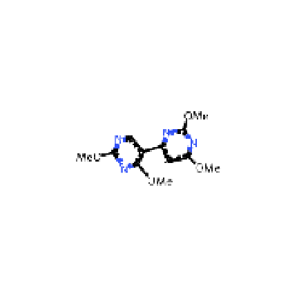 COc1[c]c(-c2cnc(OC)nc2OC)nc(OC)n1